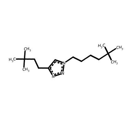 CC(C)(C)CCCCn1cc(CCC(C)(C)C)nn1